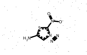 N#N.Nc1cnc([N+](=O)[O-])s1